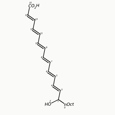 CCCCCCCCC(O)C=CC=CC=CC=CC=CC=CC(=O)O